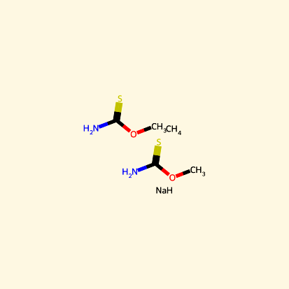 C.COC(N)=S.COC(N)=S.[NaH]